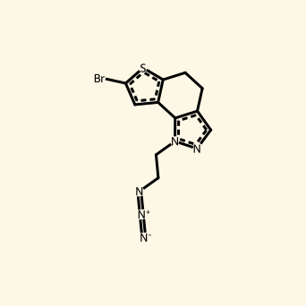 [N-]=[N+]=NCCn1ncc2c1-c1cc(Br)sc1CC2